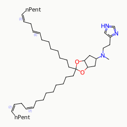 CCCCC/C=C\C/C=C\CCCCCCCCC1(CCCCCCC/C=C/C/C=C\CCCCC)OC2CC(N(C)CCc3c[nH]cn3)CC2O1